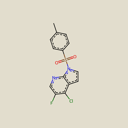 Cc1ccc(S(=O)(=O)n2ccc3c(Cl)c(F)cnc32)cc1